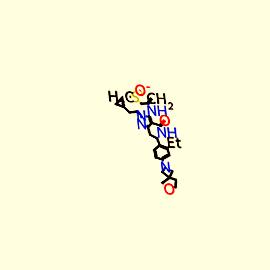 C=C(C[S+](C)[O-])Nc1c2c(nn1CCC1CC1)CC(c1ccc(N3CC4(CCOC4)C3)cc1CC)NC2=O